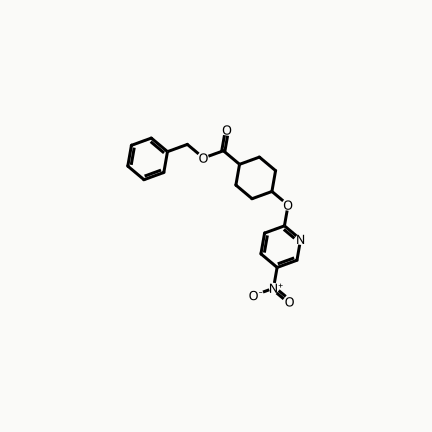 O=C(OCc1ccccc1)C1CCC(Oc2ccc([N+](=O)[O-])cn2)CC1